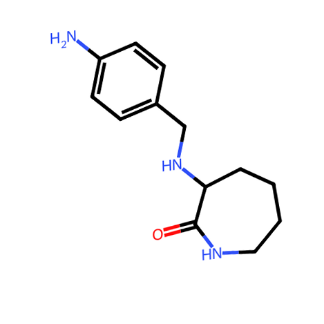 Nc1ccc(CNC2CCCCNC2=O)cc1